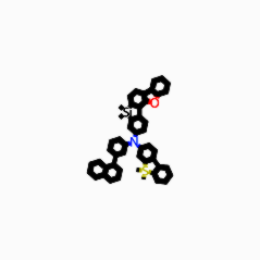 C[Si]1(C)c2cc(N(c3cccc(-c4cccc5ccccc45)c3)c3ccc4c(c3)S(C)(C)c3ccccc3-4)ccc2-c2c1ccc1c2oc2ccccc21